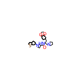 O=C(NC(Cc1ccc2c(c1)OCCO2)CN1CCCC1)C1CCN(c2ccc3ccsc3c2)C1